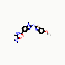 CC(NC(=O)c1ccc2c(c1)nc(Nc1nc3ccc(OC(F)(F)F)cc3s1)n2C)C(=O)N(C)C